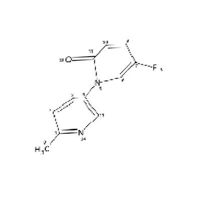 Cc1ccc(-n2cc(F)ccc2=O)cn1